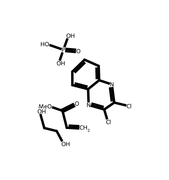 C=CC(=O)OC.Clc1nc2ccccc2nc1Cl.O=P(O)(O)O.OCCO